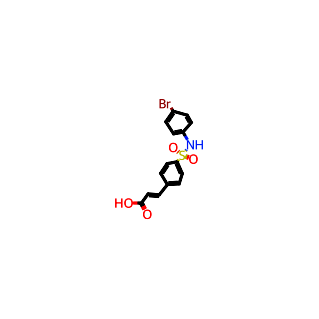 O=C(O)C=Cc1ccc(S(=O)(=O)Nc2ccc(Br)cc2)cc1